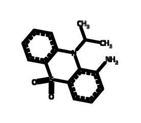 CC(C)N1c2ccccc2S(=O)(=O)c2cccc(N)c21